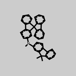 CN(c1ccc2c(c1)C(C)(C)c1ccccc1-2)c1ccc2c(c1)C1(c3ccccc3-c3ccccc31)c1ccccc1-2